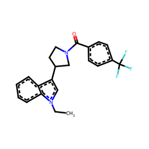 CCn1cc(C2CCN(C(=O)c3ccc(C(F)(F)F)cc3)C2)c2ccccc21